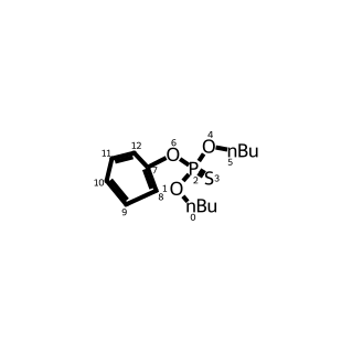 CCCCOP(=S)(OCCCC)Oc1ccccc1